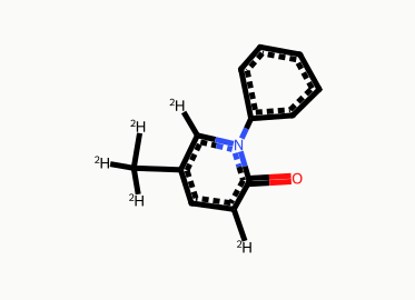 [2H]c1cc(C([2H])([2H])[2H])c([2H])n(-c2ccccc2)c1=O